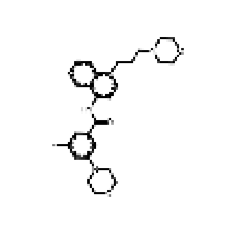 O=C(Nc1ccc(CCCN2CCOCC2)c2ccccc12)c1cc(F)cc(N2CCOCC2)c1